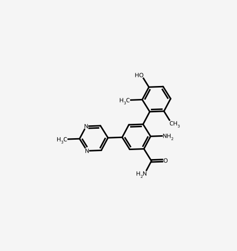 Cc1ncc(-c2cc(C(N)=O)c(N)c(-c3c(C)ccc(O)c3C)c2)cn1